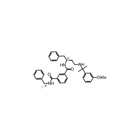 COc1cccc(C(C)(C)NCC[C@H](Cc2ccccc2)NC(=O)c2cccc(C(=O)N[C@H](C)c3ccccc3)c2)c1